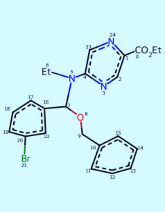 CCOC(=O)c1cnc(N(CC)C(OCc2ccccc2)c2cccc(Br)c2)cn1